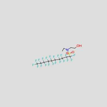 CCN(CCO)S(=O)(=O)C(F)(F)C(F)(F)C(F)(F)C(F)(F)C(F)(F)C(F)(F)C(F)(F)C(F)(F)C(F)(F)C(F)(F)F